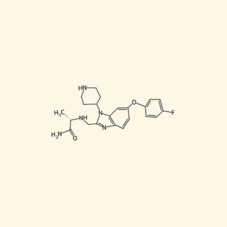 C[C@H](NCc1nc2ccc(Oc3ccc(F)cc3)cc2n1C1CCNCC1)C(N)=O